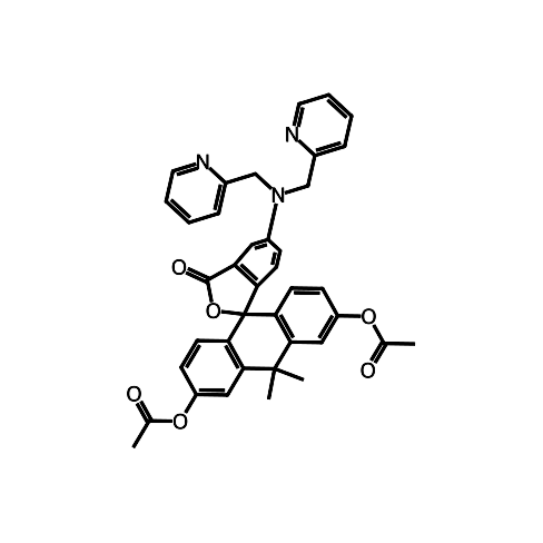 CC(=O)Oc1ccc2c(c1)C(C)(C)c1cc(OC(C)=O)ccc1C21OC(=O)c2cc(N(Cc3ccccn3)Cc3ccccn3)ccc21